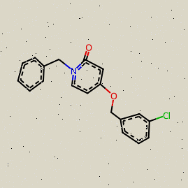 O=c1cc(OCc2cccc(Cl)c2)ccn1Cc1ccccc1